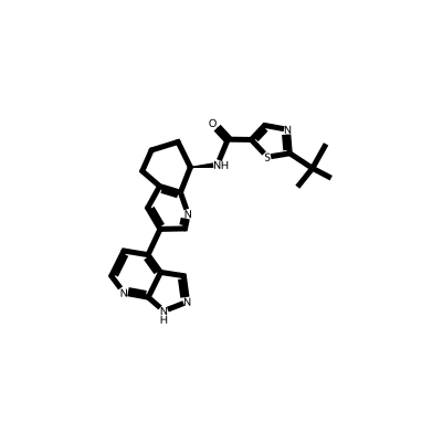 CC(C)(C)c1ncc(C(=O)N[C@@H]2CCCc3cc(-c4ccnc5[nH]ncc45)cnc32)s1